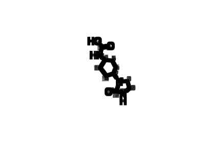 O=C(O)NC1CCC(N2CCNC2=O)CC1